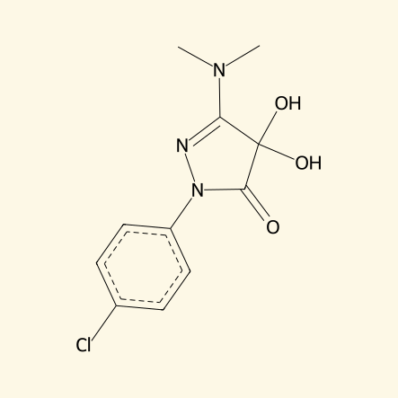 CN(C)C1=NN(c2ccc(Cl)cc2)C(=O)C1(O)O